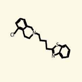 Clc1cccc2c1CCN(CCCCc1nc3ccccc3s1)C2